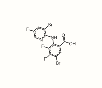 O=C(O)c1cc(Br)c(F)c(F)c1Nc1ncc(F)cc1Br